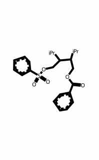 CC(C)C(COC(=O)c1ccccc1)C(COS(=O)(=O)c1ccccc1)C(C)C